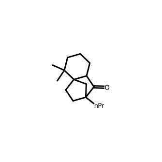 CCCC12CCC3(C1)C(CCCC3(C)C)C2=O